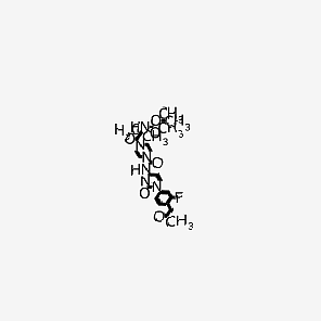 CC(=O)Cc1ccc(-n2ccc(NC(=O)N3CCN(C(=O)C(C)(C)NC(=O)OC(C)(C)C)CC3)nc2=O)cc1F